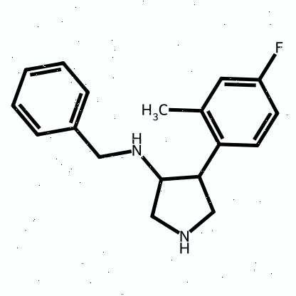 Cc1cc(F)ccc1C1CNCC1NCc1ccccc1